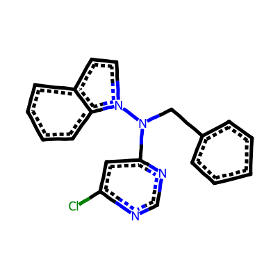 Clc1cc(N(Cc2ccccc2)n2ccc3ccccc32)ncn1